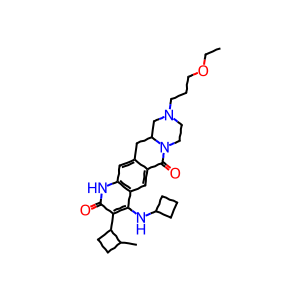 CCOCCCN1CCN2C(=O)c3cc4c(NC5CCC5)c(C5CCC5C)c(=O)[nH]c4cc3CC2C1